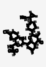 Cc1cc(C(C)Nc2ccc(Cl)nc2C(=O)NS(C)(=O)=O)c2oc(-c3ccc(C4(C#N)CC4)nc3)c(C)c(=O)c2c1